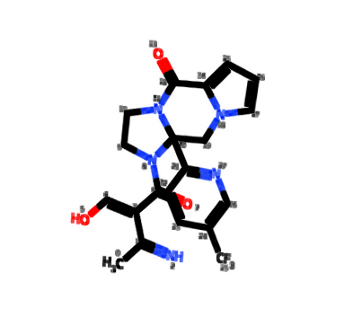 CC(=N)/C(=C\O)C(=O)N1CCN2C(=O)c3cccn3CC12c1ccc(C(F)(F)F)cn1